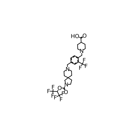 O=C(O)C1CCN(Cc2ccc(CN3CCC4(CC3)CCN(C(=O)OC(C(F)(F)F)C(F)(F)F)C4)cc2C(F)(F)F)CC1